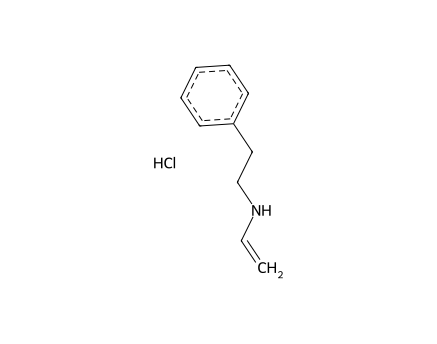 C=CNCCc1ccccc1.Cl